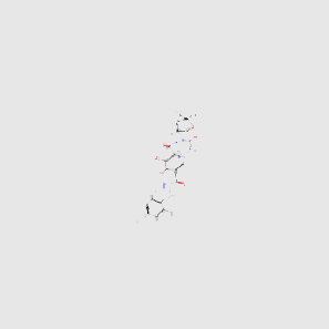 O=C(NCc1c(F)cc(F)cc1F)c1cn2c(c(O)c1=O)C(=O)N1C(C2)OC2C[C@@H]1C1C[C@H]21